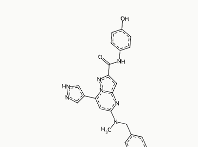 CN(Cc1ccccc1)c1cc(-c2cn[nH]c2)n2nc(C(=O)Nc3ccc(O)cc3)cc2n1